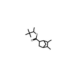 CC1C2CC(C(=O)OC(C)C(C)(C)C)C(C2)C1C